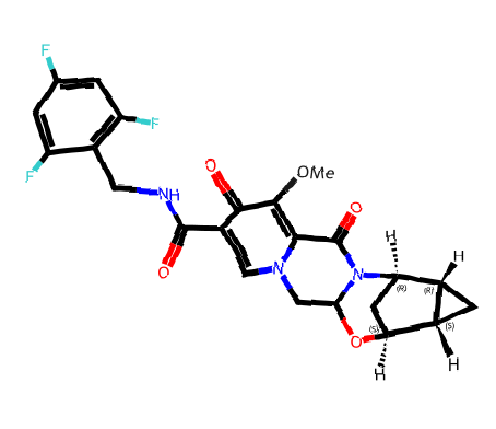 COc1c2n(cc(C(=O)NCc3c(F)cc(F)cc3F)c1=O)CC1O[C@H]3C[C@H]([C@@H]4C[C@@H]43)N1C2=O